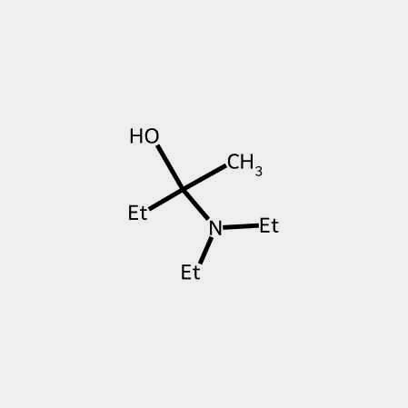 CCN(CC)C(C)(O)CC